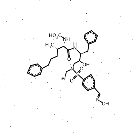 CC(C)CN(C[C@H](O)[C@H](Cc1ccccc1)NC(=O)[C@@H](NC(=O)O)[C@@H](C)CCCc1ccccc1)S(=O)(=O)c1ccc(C=NO)cc1